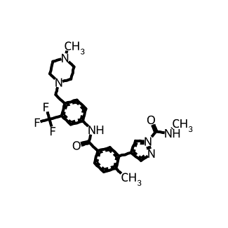 CNC(=O)n1cc(-c2cc(C(=O)Nc3ccc(CN4CCN(C)CC4)c(C(F)(F)F)c3)ccc2C)cn1